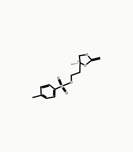 C=C1OC[C@](C)(CCOS(=O)(=O)c2ccc(C)cc2)O1